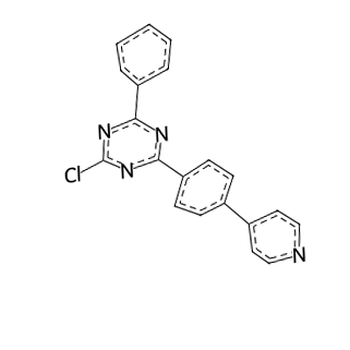 Clc1nc(-c2ccccc2)nc(-c2ccc(-c3ccncc3)cc2)n1